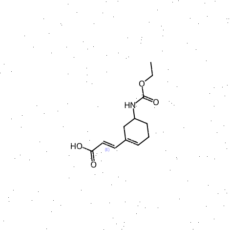 CCOC(=O)NC1CCC=C(/C=C/C(=O)O)C1